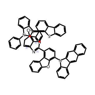 CC1C/C=C(c2cccc3c4ccccc4n(-c4ccccc4)c23)/N=C(c2ccc(-n3c4ccccc4c4cc5ccccc5cc43)c3oc4ccccc4c23)\N=C/1c1cccc2c1sc1ccccc12